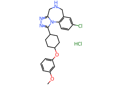 COc1cccc(OC2CCC(c3nnc4n3-c3ccc(Cl)cc3CNC4)CC2)c1.Cl